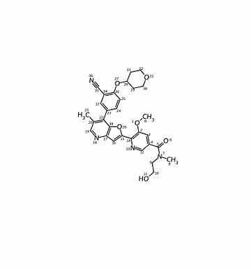 COc1cc(C(=O)N(C)CCO)cnc1-c1cc2ncc(C)c(-c3ccc(OC4CCOCC4)c(C#N)c3)c2o1